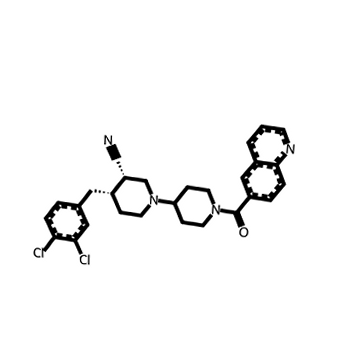 N#C[C@@H]1CN(C2CCN(C(=O)c3ccc4ncccc4c3)CC2)CC[C@@H]1Cc1ccc(Cl)c(Cl)c1